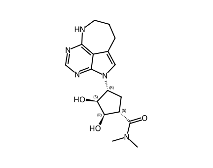 CN(C)C(=O)[C@H]1C[C@@H](n2cc3c4c(ncnc42)NCCC3)[C@H](O)[C@@H]1O